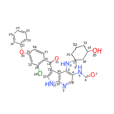 CC1(Nc2c(NC=O)cnc3[nH]cc(C(=O)c4ccc(Oc5ccccc5)cc4Cl)c23)CCCC(O)C1